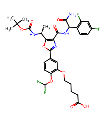 C[C@H](NC(=O)OC(C)(C)C)c1oc(-c2ccc(OC(F)F)c(OCCCCC(=O)O)c2)nc1C(=O)NC(C(N)=O)c1ccc(F)cc1F